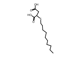 CCCCCCCCCCSC(CC(=O)O)C(=O)O